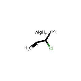 C=CC(Cl)CCC.[MgH2]